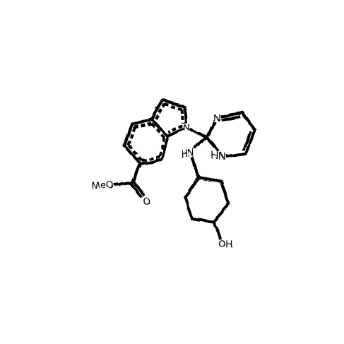 COC(=O)c1ccc2ccn(C3(NC4CCC(O)CC4)N=CC=CN3)c2c1